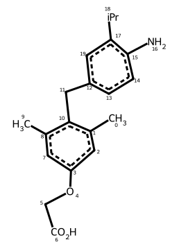 Cc1cc(OCC(=O)O)cc(C)c1Cc1ccc(N)c(C(C)C)c1